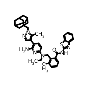 CCN(Cc1c(C)cccc1C(=O)Nc1nc2ccccc2s1)c1ccc(-c2cnn(CC34CC5CC(CC(C5)C3)C4)c2C)c(N)n1